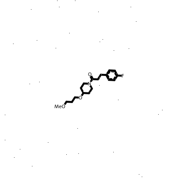 COCCCOC1CCN(C(=O)[CH]Cc2ccc(F)cc2)CC1